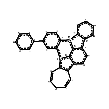 C1=Cc2c(n3c4cc(-c5ccccc5)ccc4n4c5ccccc5c5ccc2c3c54)C=CC1